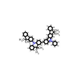 CC1(C)c2ccccc2-c2ccc(N3c4ccccc4C(C)(C)c4cc(-c5ccc6c(c5)c5cc7c(cc5n6-c5ccccc5)C(C)(C)c5ccccc5-7)ccc43)cc21